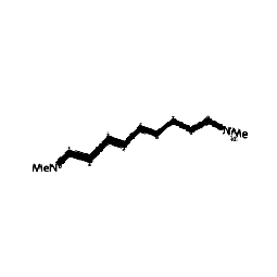 CNCCCCCCCCCNC